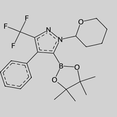 CC1(C)OB(c2c(-c3ccccc3)c(C(F)(F)F)nn2C2CCCCO2)OC1(C)C